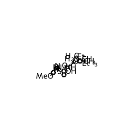 CCC(C)(C)c1ccc(OCCCCNC(=O)c2cc(Sc3nnnn3-c3ccc(OC)cc3)c3ccccc3c2O)c(C(C)(C)CC)c1